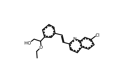 CCOC(CO)c1cccc(C=Cc2ccc3ccc(Cl)cc3n2)c1